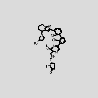 COc1nc(-c2cccc(-c3cccc(-c4cc5n(n4)CCCC5N4CC[C@@H](O)C4)c3Cl)c2Cl)cnc1CNC[C@@H]1CCC(=O)N1